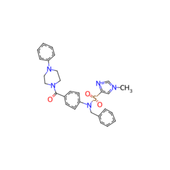 Cn1cnc(S(=O)(=O)N(Cc2ccccc2)c2ccc(C(=O)N3CCN(c4ccccc4)CC3)cc2)c1